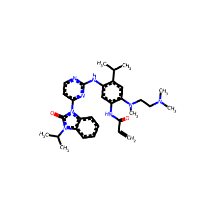 C=CC(=O)Nc1cc(Nc2nccc(-n3c(=O)n(C(C)C)c4ccccc43)n2)c(C(C)C)cc1N(C)CCN(C)C